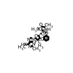 CNc1nc(C)nc2c1ncn2[C@@H]1O[C@H](CO[P@](=S)(N[C@@H](C)C(=O)OC)Oc2ccccc2)[C@@H](O)[C@@]1(C)F